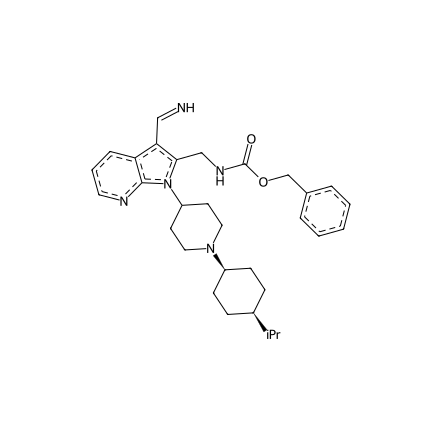 CC(C)[C@H]1CC[C@@H](N2CCC(n3c(CNC(=O)OCc4ccccc4)c(C=N)c4cccnc43)CC2)CC1